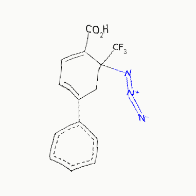 [N-]=[N+]=NC1(C(F)(F)F)CC(c2ccccc2)=CC=C1C(=O)O